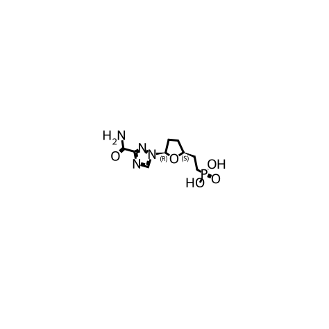 NC(=O)c1ncn([C@H]2CC[C@@H](CCP(=O)(O)O)O2)n1